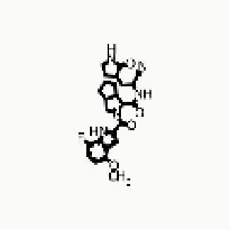 COc1ccc(F)c2[nH]c(C(=O)N3CC4CCCC4C3C(=O)NC(C#N)CC3CCNC3=O)cc12